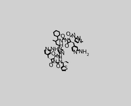 CC[C@@H](NC(=O)N1C(=O)[C@H](Cc2ccnc(N)c2)[C@H]1C(=O)N(C)c1cn(CCC(C)[C@@H](NC(=O)N2C(=O)[C@H](Cc3ccnc(N)c3)[C@H]2C(=O)N(C)c2ccn(C)n2)C2CCCCC2)cn1)c1cccs1